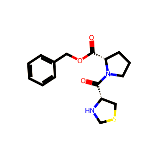 O=C(OCc1ccccc1)[C@@H]1CCCN1C(=O)[C@@H]1CSCN1